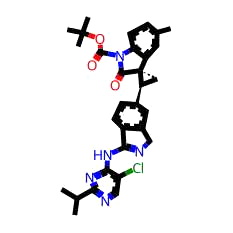 Cc1ccc2c(c1)[C@]1(C[C@H]1c1ccc3c(c1)CN=C3Nc1nc(C(C)C)ncc1Cl)C(=O)N2C(=O)OC(C)(C)C